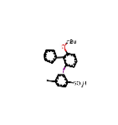 CCCCOc1cccc(I)c1-c1ccccc1.Cc1ccc(S(=O)(=O)O)cc1